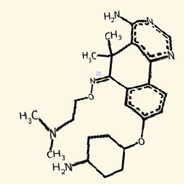 CN(C)CCO/N=C1\c2cc(OC3CCC(N)CC3)ccc2-c2ncnc(N)c2C1(C)C